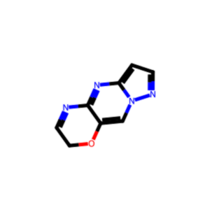 C1=Nc2nc3ccnn3cc2OC1